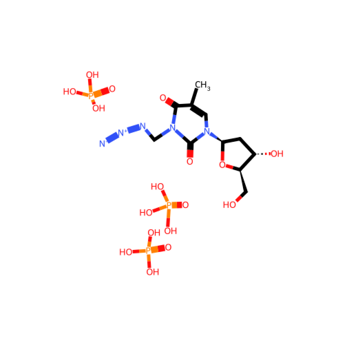 Cc1cn([C@H]2C[C@H](O)[C@@H](CO)O2)c(=O)n(CN=[N+]=[N-])c1=O.O=P(O)(O)O.O=P(O)(O)O.O=P(O)(O)O